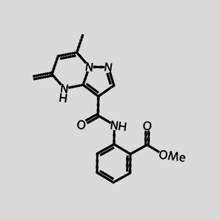 C=C1C=C(C)n2ncc(C(=O)Nc3ccccc3C(=O)OC)c2N1